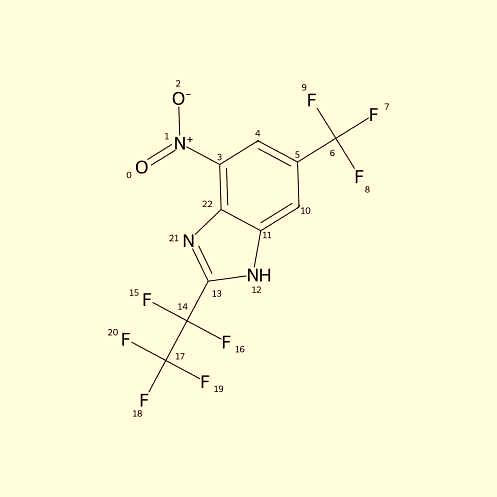 O=[N+]([O-])c1cc(C(F)(F)F)cc2[nH]c(C(F)(F)C(F)(F)F)nc12